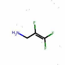 NCC(F)=C(F)F